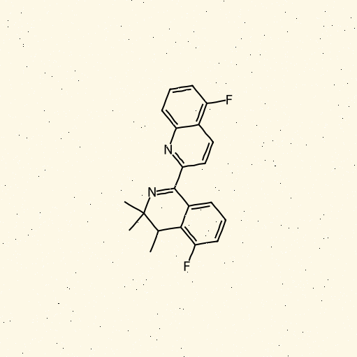 CC1c2c(F)cccc2C(c2ccc3c(F)cccc3n2)=NC1(C)C